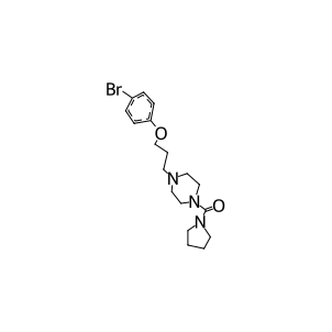 O=C(N1CCCC1)N1CCN(CCCOc2ccc(Br)cc2)CC1